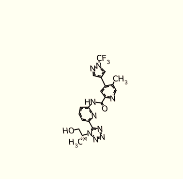 Cc1cnc(C(=O)Nc2cccc(-c3nnnn3[C@H](C)CO)n2)cc1-c1cnn(C(F)(F)F)c1